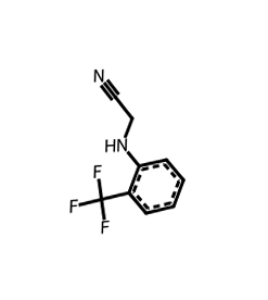 N#CCNc1ccccc1C(F)(F)F